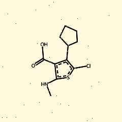 CNc1sc(Cl)c(C2CCCC2)c1C(=O)O